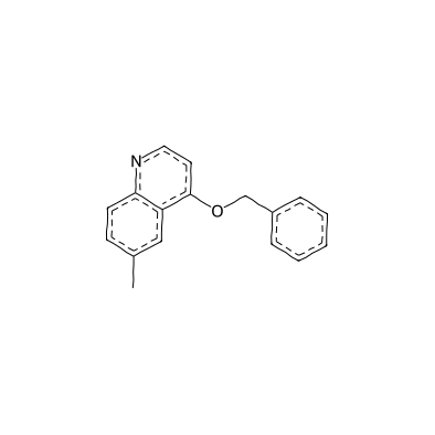 Cc1ccc2nccc(OCc3ccccc3)c2c1